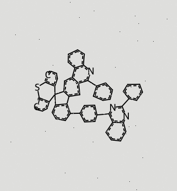 c1ccc(-c2nc(-c3ccc(-c4cccc5c4-c4cc6c(-c7ccccc7)nc7ccccc7c6cc4C54c5ccccc5Sc5ccccc54)cc3)c3ccccc3n2)cc1